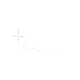 COCCO/C=C/C[Si](C)(C)O[Si](C)(C)C